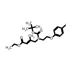 CCOC(=O)/C=C(\C)CN(CCOc1ccc(I)cc1)C(=O)OC(C)(C)C